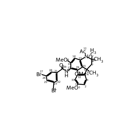 COc1ccc(C2(C)CC(C)(C)N(C(C)=O)c3cc(OC)c(NC(=O)c4cc(Br)cc(Br)c4)c(OC)c32)cc1